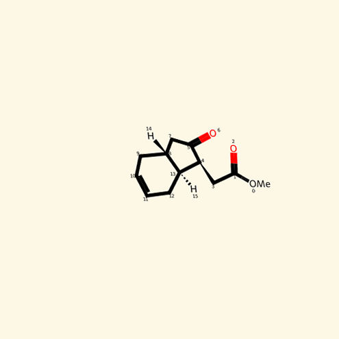 COC(=O)C[C@@H]1C(=O)C[C@H]2CC=CC[C@@H]21